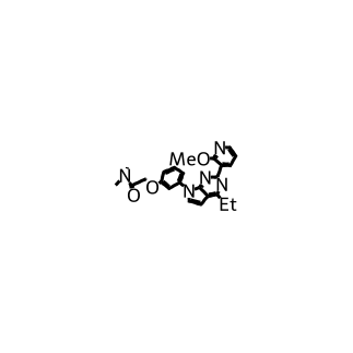 CCc1nc(-c2cccnc2OC)nc2c1ccn2-c1cccc(OCC(=O)N(C)C)c1